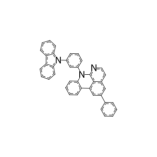 c1ccc(-c2cc3c4c(nccc4c2)N(c2cccc(-n4c5ccccc5c5ccccc54)c2)c2ccccc2-3)cc1